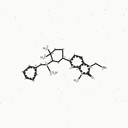 Cn1c(=O)n(CC(C)(C)C)c2ccc(C3CCC(C)(C)C(N(Cc4ccccc4)C(=O)O)C3)nc21